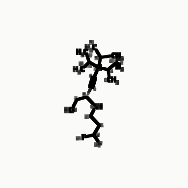 CC(C)[Si](C#C[C@@H](CO)NCCC(F)F)(C(C)C)C(C)C